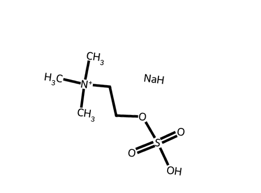 C[N+](C)(C)CCOS(=O)(=O)O.[NaH]